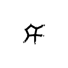 FC1[CH]CC(F)C1(F)F